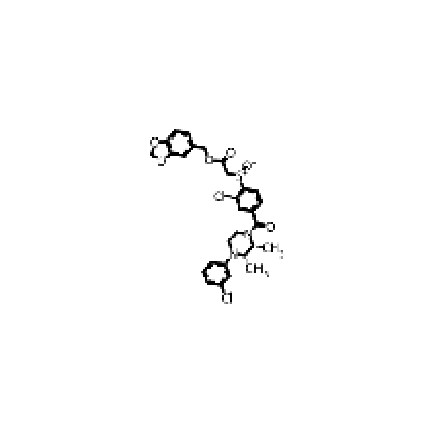 C[C@H]1[C@H](C)N(c2cccc(Cl)c2)CCN1C(=O)c1ccc([S+]([O-])CC(=O)OCc2ccc3c(c2)OCO3)c(Cl)c1